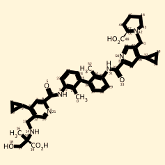 Cc1c(NC(=O)c2cc(C3CC3)c(CN[C@@](C)(CO)C(=O)O)cn2)cccc1-c1cccc(NC(=O)c2cc(C3CC3)c(CN3CCCC[C@H]3C(=O)O)cn2)c1C